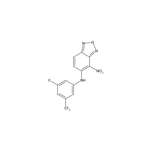 O=[N+]([O-])c1c(Nc2cc(F)cc(C(F)(F)F)c2)ccc2nonc12